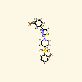 O=S(=O)(c1ccccc1Br)C1CCN(c2nc(-c3cccc(Br)c3)cs2)CC1